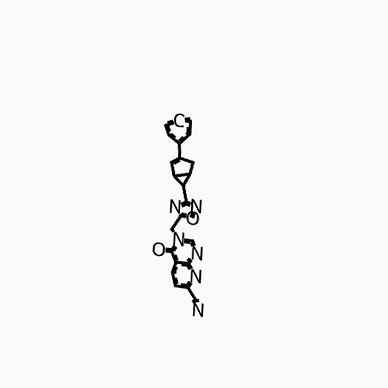 N#Cc1ccc2c(=O)n(Cc3nc(C4C5C=C(c6ccccc6)CC54)no3)cnc2n1